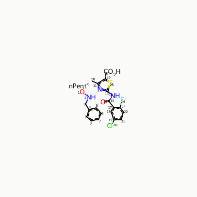 CCCCCONCc1ccccc1.Cc1nc(NC(=O)c2cc(Cl)ccc2F)sc1C(=O)O